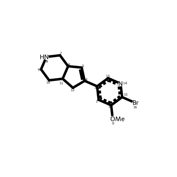 COc1cc(C2=CC3CNCCC3C2)cnc1Br